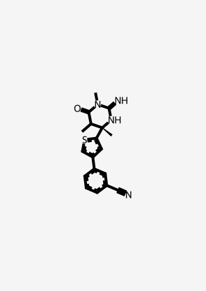 CC1C(=O)N(C)C(=N)N[C@]1(C)c1cc(-c2cccc(C#N)c2)cs1